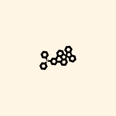 c1ccc(N(c2ccccc2)c2ccc3c(c2)c2cccc4c2c2c(cccc32)C42c3ccccc3-c3ccccc32)cc1